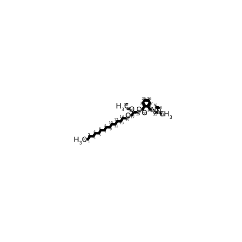 CCCCCCCCCCCCCCCCOCC(COC(=O)c1ccccc1CN1[CH]N(C)C=C1)OCC